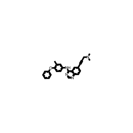 Cc1cc(Nc2ncnc3ccc(C#CCN(C)C)cc23)ccc1Oc1ccccc1